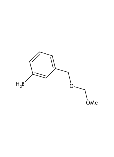 Bc1cccc(COCOC)c1